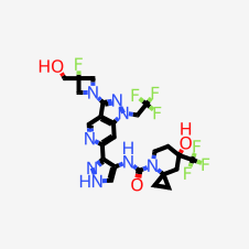 O=C(Nc1c[nH]nc1-c1cc2c(cn1)c(N1CC(F)(CO)C1)nn2CC(F)(F)F)N1CCC(O)(C(F)(F)F)CC12CC2